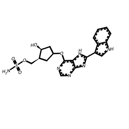 NS(=O)(=O)OC[C@@H]1CC(Oc2ncnc3nc(-c4c[nH]c5ccccc45)[nH]c23)C[C@@H]1O